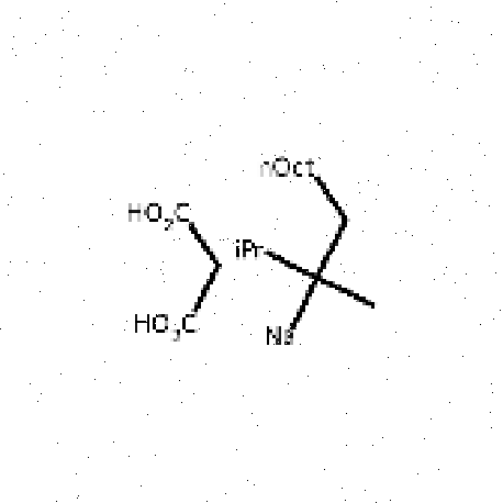 CCCCCCCCC[C](C)([Na])C(C)C.O=C(O)CC(=O)O